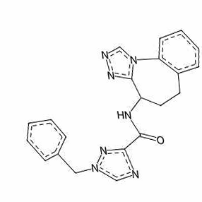 O=C(NC1CCc2ccccc2-n2cnnc21)c1ncn(Cc2ccccc2)n1